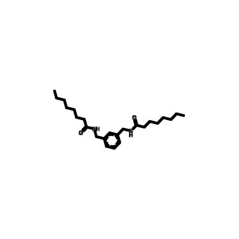 CCCCCCCC(=O)NCc1cccc(CNC(=O)CCCCCCC)c1